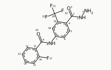 NNC(=O)c1ccc(NC(=O)c2ccccc2F)cc1C(F)(F)F